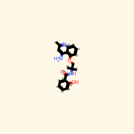 Cc1cc(N)c2c(OCC(C)(C)NC(=O)c3ccccc3O)cccc2n1